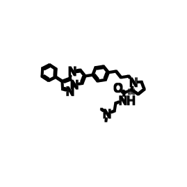 CN(C)CCNC(=O)[C@@H]1CCCN1CCCc1ccc(-c2cnc3c(-c4ccccc4)cnn3c2)cc1